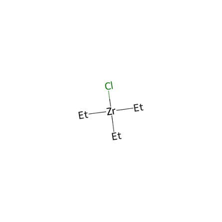 C[CH2][Zr]([Cl])([CH2]C)[CH2]C